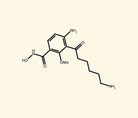 COc1c(C(=O)NO)ccc(N)c1C(=O)CCCCCN